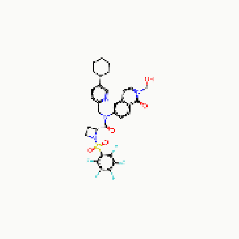 O=C([C@H]1CCN1S(=O)(=O)c1c(F)c(F)c(F)c(F)c1F)N(Cc1ccc(C2CCCCC2)cn1)c1ccc2c(=O)n(CO)ccc2c1